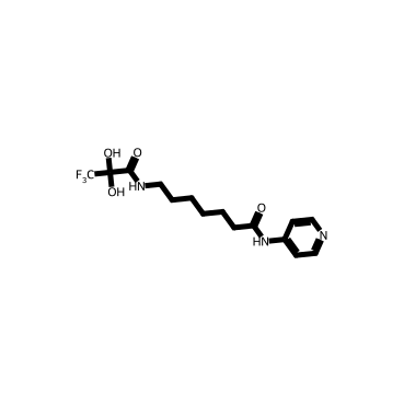 O=C(CCCCCCNC(=O)C(O)(O)C(F)(F)F)Nc1ccncc1